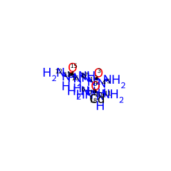 NNC(=O)NN.NNC(=O)NN.NNC(=O)NN.[Cd]